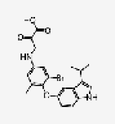 Cc1cc(NCC(=O)C(=O)O)cc(Br)c1Oc1ccc2[nH]cc(C(C)C)c2c1